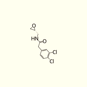 O=C(Cc1ccc(Cl)c(Cl)c1)NC[C@@H]1CO1